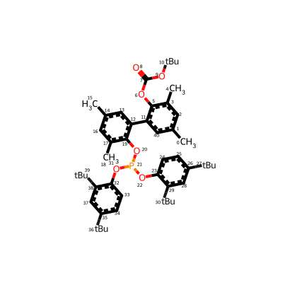 Cc1cc(C)c(OC(=O)OC(C)(C)C)c(-c2cc(C)cc(C)c2OP(Oc2ccc(C(C)(C)C)cc2C(C)(C)C)Oc2ccc(C(C)(C)C)cc2C(C)(C)C)c1